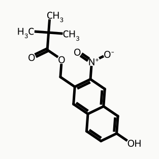 CC(C)(C)C(=O)OCc1cc2ccc(O)cc2cc1[N+](=O)[O-]